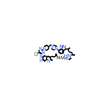 C=CNC(=C)CCC(C)c1nn(C)c2c(N3CCN(CC4CCN(c5ncc(Cl)c(Nc6ccc7c(c6)C=C(CCC(=C)NC)C(=C)N7C)n5)CC4)CC3)cccc12